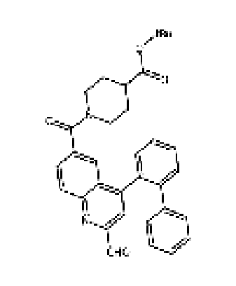 CC(C)(C)OC(=O)C1CCN(C(=O)c2ccc3nc(C=O)cc(-c4ccccc4-c4ccccc4)c3c2)CC1